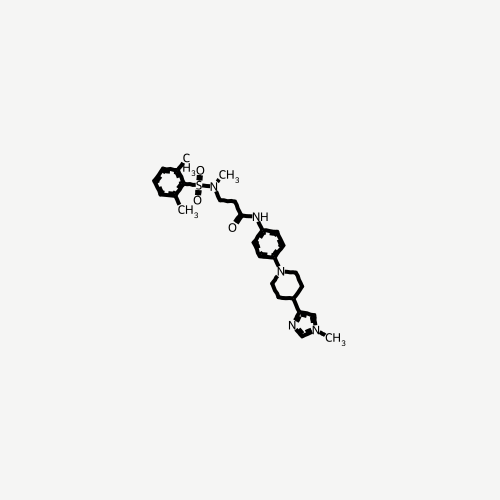 Cc1cccc(C)c1S(=O)(=O)N(C)CCC(=O)Nc1ccc(N2CCC(c3cn(C)cn3)CC2)cc1